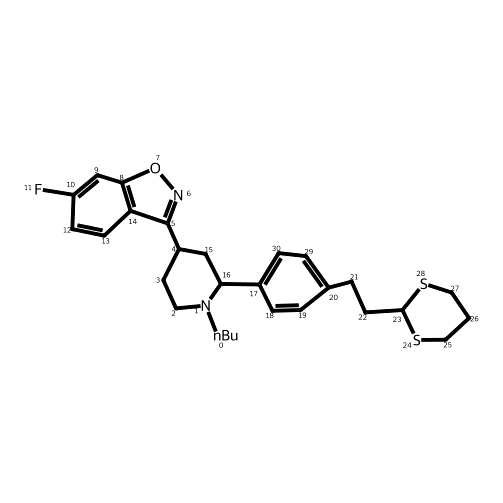 CCCCN1CCC(c2noc3cc(F)ccc23)CC1c1ccc(CCC2SCCCS2)cc1